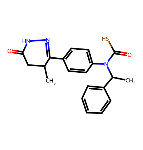 CC1CC(=O)NN=C1c1ccc(N(C(=O)S)C(C)c2ccccc2)cc1